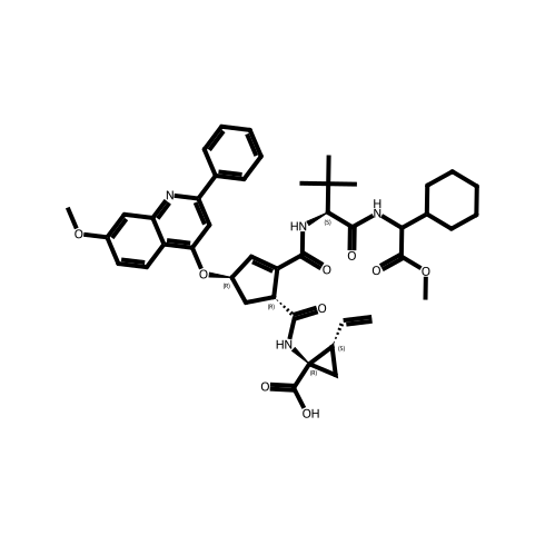 C=C[C@@H]1C[C@]1(NC(=O)[C@@H]1C[C@@H](Oc2cc(-c3ccccc3)nc3cc(OC)ccc23)C=C1C(=O)N[C@H](C(=O)NC(C(=O)OC)C1CCCCC1)C(C)(C)C)C(=O)O